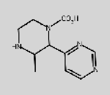 CC1NCCN(C(=O)O)C1c1ccncn1